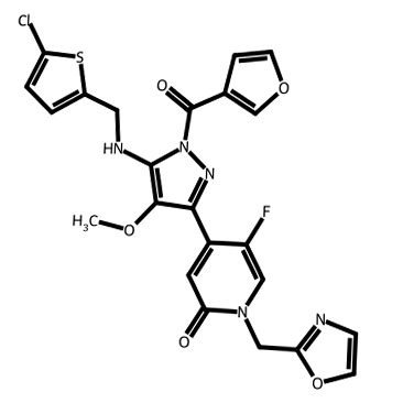 COc1c(-c2cc(=O)n(Cc3ncco3)cc2F)nn(C(=O)c2ccoc2)c1NCc1ccc(Cl)s1